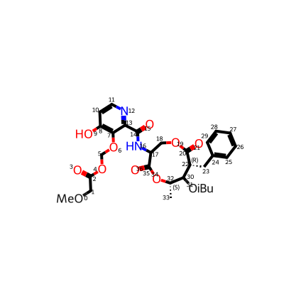 COCC(=O)OCOc1c(O)ccnc1C(=O)NC1COC(=O)[C@H](Cc2ccccc2)C(OCC(C)C)[C@H](C)OC1=O